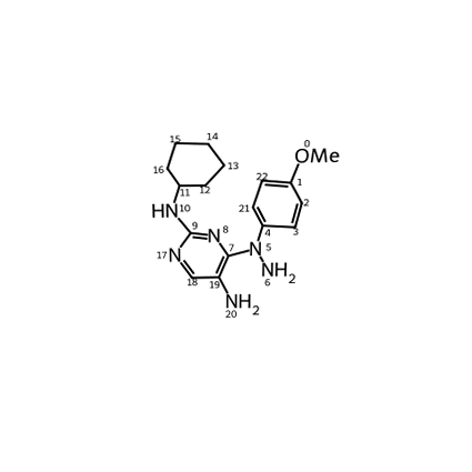 COc1ccc(N(N)c2nc(NC3CCCCC3)ncc2N)cc1